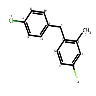 Cc1cc(F)ccc1[CH]c1ccc(Cl)cc1